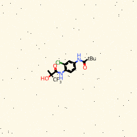 CC(C)(C)C(=O)Nc1ccc(NC(=O)[C@@](C)(O)C(F)(F)F)c(Cl)c1